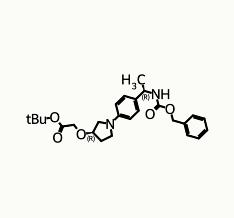 C[C@@H](NC(=O)OCc1ccccc1)c1ccc(N2CC[C@@H](OCC(=O)OC(C)(C)C)C2)cc1